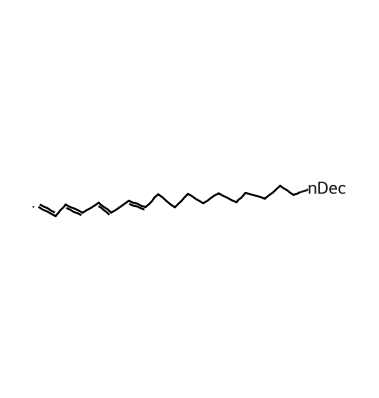 [CH]=C/C=C/C=C/C=C/CCCCCCCCCCCCCCCCCCCC